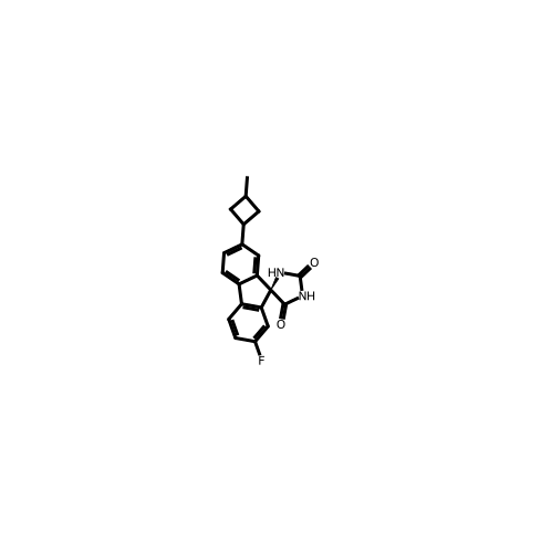 CC1CC(c2ccc3c(c2)[C@@]2(NC(=O)NC2=O)c2cc(F)ccc2-3)C1